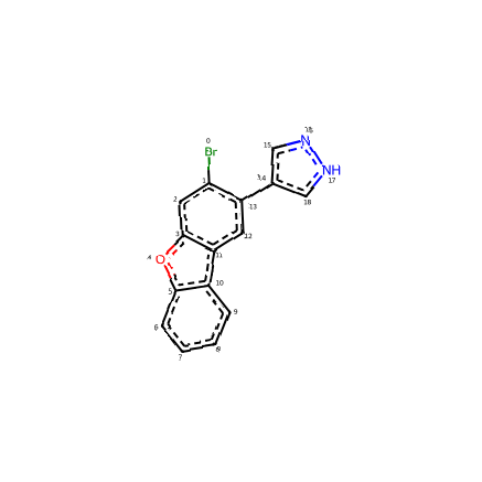 Brc1cc2oc3ccccc3c2cc1-c1cn[nH]c1